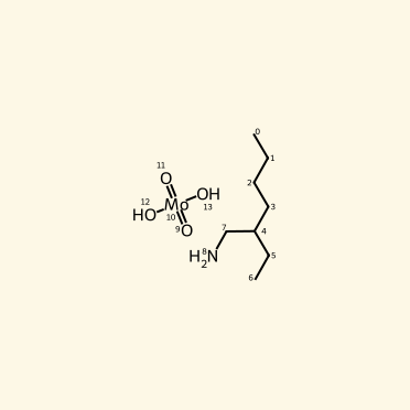 CCCCC(CC)CN.[O]=[Mo](=[O])([OH])[OH]